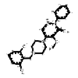 CC(C)Oc1c(N2CCN(Cc3c(Cl)cccc3Cl)CC2)cnn(-c2ccccc2)c1=O